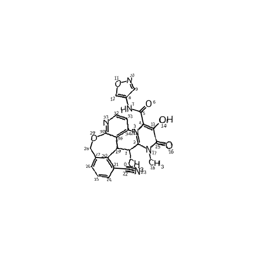 CC(c1nc(C(=O)Nc2cnoc2)c(O)c(=O)n1C)C1c2c(C#N)cccc2COc2nccc(F)c21